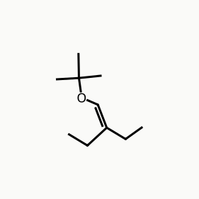 CCC(=COC(C)(C)C)CC